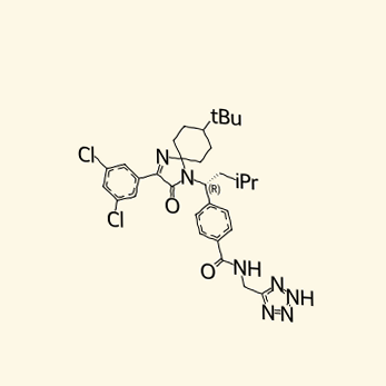 CC(C)C[C@H](c1ccc(C(=O)NCc2nn[nH]n2)cc1)N1C(=O)C(c2cc(Cl)cc(Cl)c2)=NC12CCC(C(C)(C)C)CC2